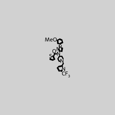 COc1cccc(-n2ccc(N(C(=O)c3cccs3)C3CCN(Cc4cccc(C(F)(F)F)n4)CC3)n2)c1